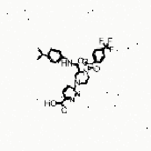 CC(C)c1ccc(CNC(=O)C2CN(c3ccc(C(=O)O)nn3)CCN2S(=O)(=O)c2ccc(C(F)(F)F)cc2)cc1